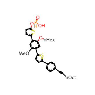 CCCCCCCCC#Cc1ccc(-c2ccc(-c3cc(OCCCCCC)c(-c4ccc(O[PH](=O)O)s4)cc3OC)s2)cc1